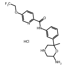 CC1(c2cccc(NC(=O)c3ccc(OCC(F)(F)F)cn3)c2)CNCC(N)O1.Cl